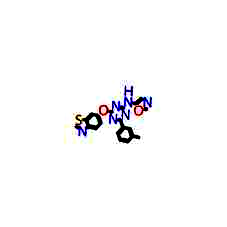 Cc1cccc(-c2nc(Nc3cnco3)nc(Oc3ccc4ncsc4c3)n2)c1